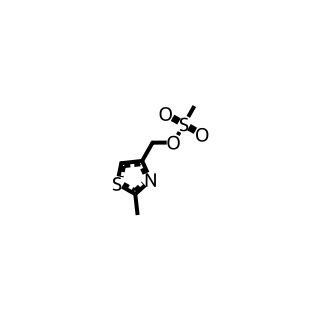 Cc1nc(COS(C)(=O)=O)cs1